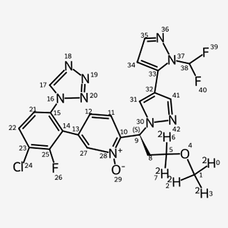 [2H]C([2H])([2H])OC([2H])([2H])C[C@@H](c1ccc(-c2c(-n3cnnn3)ccc(Cl)c2F)c[n+]1[O-])n1cc(-c2ccnn2C(F)F)cn1